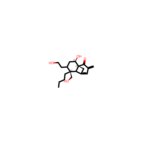 C=C1C=C2C[C@@]3(C1=O)C2[C@](CO)(CCCC)C(CCO)C[C@H]3O